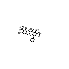 CC(=O)Nc1cc(-c2ccccn2)c2c(c1O)C(=O)C1=C(O)C3C(=O)C(C(N)=O)=C(O)CC3CC1C2